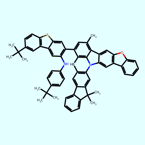 Cc1cc(-c2cc3sc4ccc(C(C)(C)C)cc4c3cc2Nc2ccc(C(C)(C)C)cc2)c2c3c1c1cc4oc5ccccc5c4cc1n3-c1cc3c(cc1B2)-c1ccccc1C3(C)C